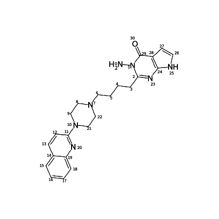 Nn1c(CCCCN2CCN(c3ccc4ccccc4n3)CC2)nc2[nH]ccc2c1=O